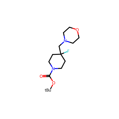 CC(C)(C)OC(=O)N1CCC(F)(CN2CCOCC2)CC1